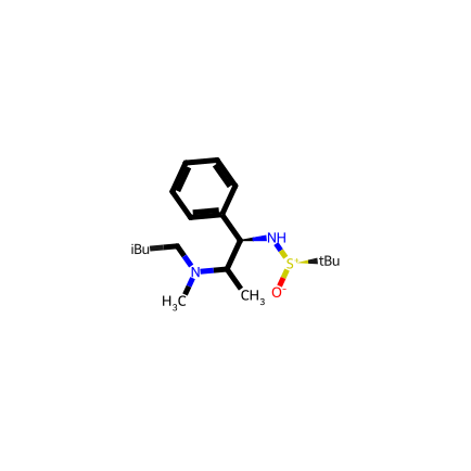 CCC(C)CN(C)C(C)[C@H](N[S@+]([O-])C(C)(C)C)c1ccccc1